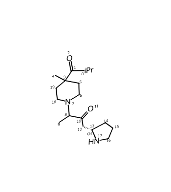 CC(C)C(=O)C1(C)CCN(C(C)C(=O)C[C@@H]2CCCN2)CC1